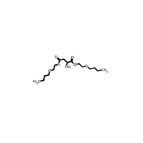 CCCCOCCOC(=O)C(O)CC(=O)SCCOCCCC